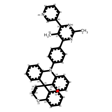 Cc1nc(-c2ccc(N3c4ccccc4C4(c5ccccc5Oc5ccccc54)c4ccccc43)cc2)c(C)c(-c2cccnc2)n1